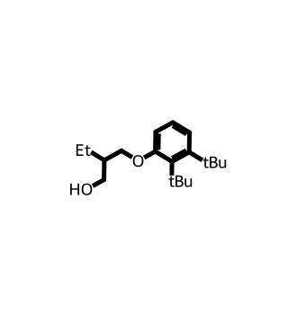 CCC(CO)COc1cccc(C(C)(C)C)c1C(C)(C)C